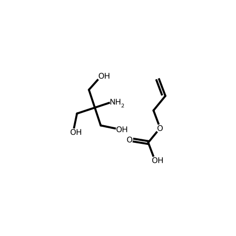 C=CCOC(=O)O.NC(CO)(CO)CO